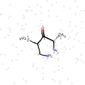 C[C@H](N)C(=O)C(CN)C(=O)O